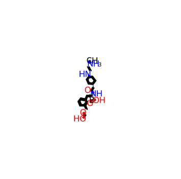 CNCCN[C@H]1CC[C@H](CC(=O)N[C@H]2Cc3cccc(COCO)c3OB2O)CC1